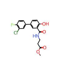 COC(=O)CCNC(=O)c1cc(-c2ccc(F)c(Cl)c2)ccc1O